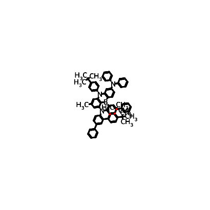 Cc1cc2c3c(c1)N(c1ccc(-c4ccccc4)cc1-c1ccc(C(C)(C)C)c(C(C)(C)C)c1)c1ccc(-c4ccccc4)cc1B3c1ccc(N(c3ccccc3)c3ccccc3)cc1N2c1ccc(C(C)(C)C)cc1